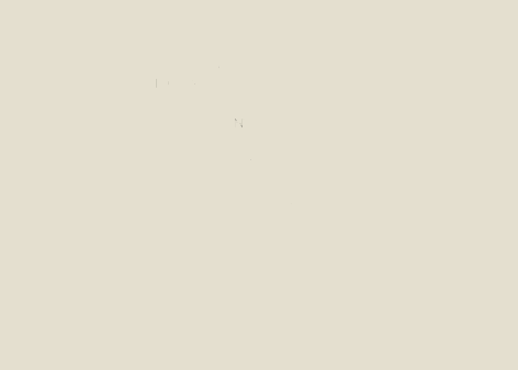 Cc1cc2c(c(OCCC(C)C)c1)CN(CC(=O)O)C2